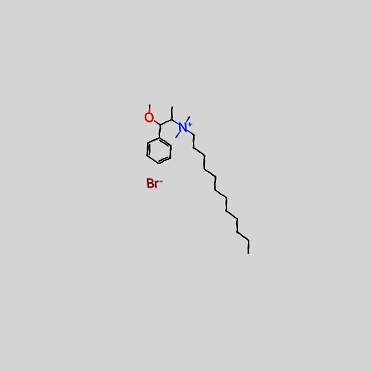 CCCCCCCCCCCC[N+](C)(C)C(C)C(OC)c1ccccc1.[Br-]